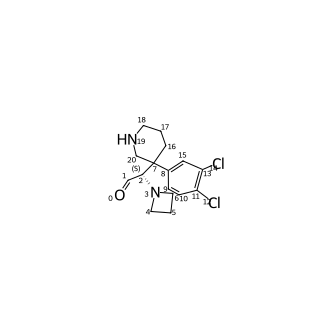 O=C[C@@H](N1CCC1)C1(c2ccc(Cl)c(Cl)c2)CCCNC1